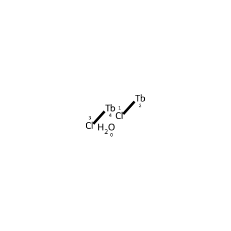 O.[Cl][Tb].[Cl][Tb]